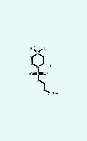 CCCCCCCCCCCCS(=O)(=O)N1CC[N+](C)(CC)CC1.[I-]